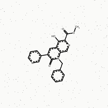 COC(=O)c1ncc2c(cc(-c3cccnc3)c(=O)n2Cc2ccccc2)c1O